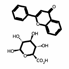 O=C(O)[C@H]1O[C@@H](O)[C@H](O)[C@@H](O)[C@@H]1O.O=c1cc(-c2ccccc2)oc2ccccc12